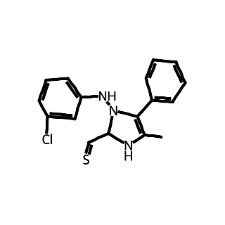 CC1=C(c2ccccc2)N(Nc2cccc(Cl)c2)C(C=S)N1